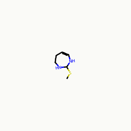 CSC1NC=CCCN1